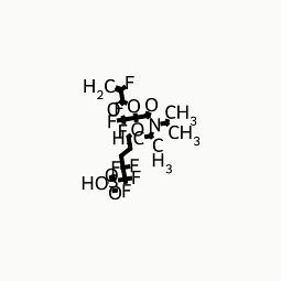 C=C(F)C(=O)OC(OCCCC(F)(F)C(F)(F)S(=O)(=O)O)(C(=O)N(C(C)C)C(C)C)C(F)(F)F